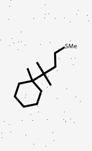 CSCCC(C)(C)C1(C)CCCCC1